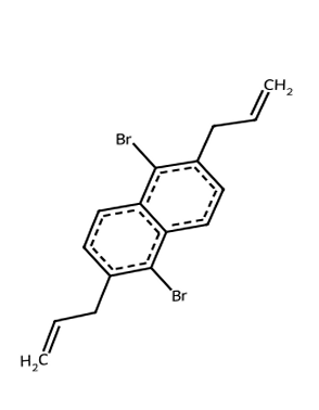 C=CCc1ccc2c(Br)c(CC=C)ccc2c1Br